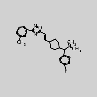 Cc1cccc(-c2noc(C=CC3CCC(C(c4ccc(F)cc4)N(C)C)CC3)n2)c1